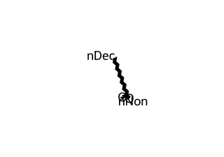 CCCCCCCCCCCCCCCCCCCCCC(=O)OCCCCCCCCC